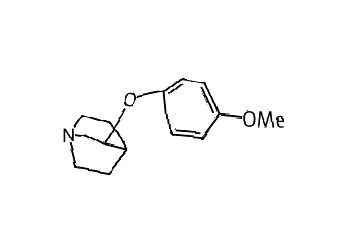 COc1ccc(OC2CN3CCC2CC3)cc1